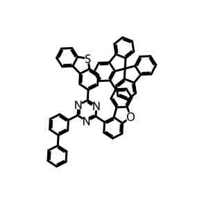 c1ccc(-c2cccc(-c3nc(-c4ccc5sc6ccccc6c5c4)nc(-c4cccc5oc6ccc(-c7cccc8c7C7(c9ccccc9-c9ccccc97)c7ccccc7-8)cc6c45)n3)c2)cc1